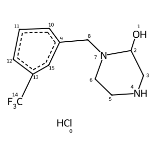 Cl.OC1CNCCN1Cc1cccc(C(F)(F)F)c1